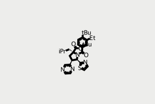 CCc1cc(C(=O)N2[C@@H](c3nccs3)[C@@H](c3cnccn3)C[C@@]2(CC(C)C)C(=O)OC(C)(C)C)ccc1C(C)(C)C